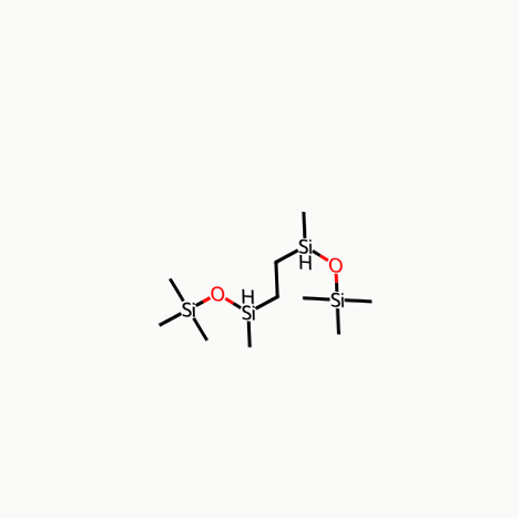 C[SiH](CC[SiH](C)O[Si](C)(C)C)O[Si](C)(C)C